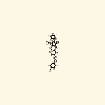 CCn1c(CN2CCC(CCOc3ccc(C)cc3)CC2)c(Br)c(=O)n1-c1ccccc1